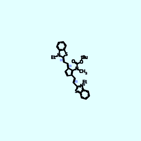 CCN1/C(=C/C=C2\C=CC(/C=C/c3sc4ccccc4[n+]3CC)=C2N(C)C(=O)OC(C)(C)C)Sc2ccccc21